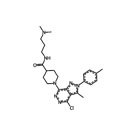 Cc1ccc(-n2nc3c(N4CCC(C(=O)NCCCN(C)C)CC4)nnc(Cl)c3c2C)cc1